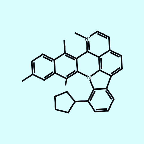 Cc1ccc2c(C)c3c(c(C)c2c1)n1c2c(C4CCCC4)cccc2c2ccc4cc[n+](C)c3c4c21